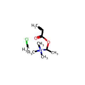 C=CC(=O)OC(C)[N+](C)(C)C.CCl